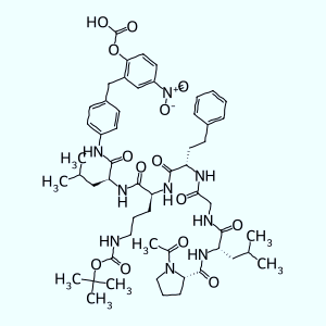 CC(=O)N1CCC[C@H]1C(=O)N[C@@H](CC(C)C)C(=O)NCC(=O)N[C@@H](CCc1ccccc1)C(=O)N[C@@H](CCCNC(=O)OC(C)(C)C)C(=O)N[C@@H](CC(C)C)C(=O)Nc1ccc(Cc2cc([N+](=O)[O-])ccc2OC(=O)O)cc1